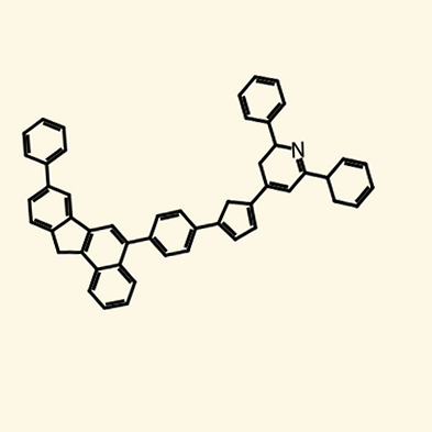 C1=CCC(C2=NC(c3ccccc3)CC(C3=CC=C(c4ccc(-c5cc6c(c7ccccc57)Cc5ccc(-c7ccccc7)cc5-6)cc4)C3)=C2)C=C1